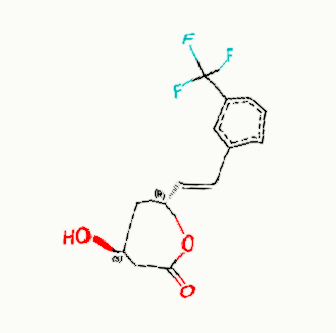 O=C1C[C@@H](O)C[C@H](C=Cc2cccc(C(F)(F)F)c2)O1